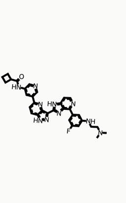 CN(C)CCNc1cc(F)cc(-c2nccc3[nH]c(-c4n[nH]c5ccc(-c6cncc(NC(=O)C7CCC7)c6)nc45)nc23)c1